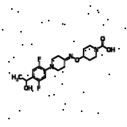 CC(O)c1cc(F)c(N2CCC(=NOC3CCN(C(=O)O)CC3)CC2)cc1F